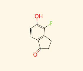 O=C1CCc2c1ccc(O)c2F